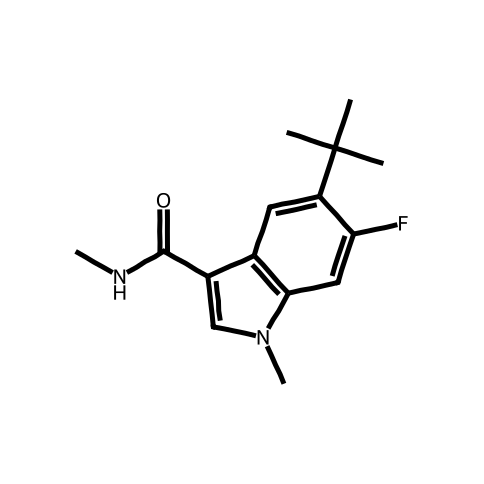 CNC(=O)c1cn(C)c2cc(F)c(C(C)(C)C)cc12